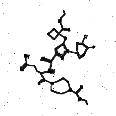 CCOC(=O)N1CCN(C(=O)C(CCC(=O)O)NC(=O)c2cc(OC3(C(=O)OCC)CCC3)n(-c3ccc(F)c(Cl)c3)n2)CC1